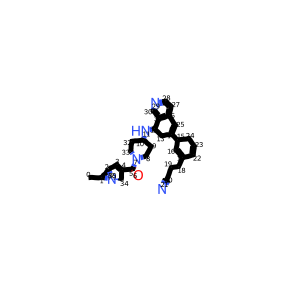 CC1C2C=C(C(=O)N3CCC(NC4CC(C5C=C(CCC#N)C=CC5)=Cc5ccncc54)CC3)C[N@@]12